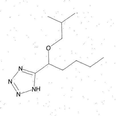 [CH2]C(C)COC(CCCC)c1nnn[nH]1